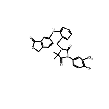 CC1(C)C(=O)N(c2ccc(C#N)c(C(F)(F)F)c2)C(=O)N1Cc1ccccc1Nc1ccc2c(c1)C(=O)OC2